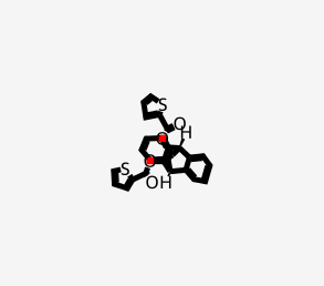 O=C(OC1C(OC(=O)c2cccs2)[C@H]2c3ccccc3[C@H]1c1ccccc12)c1cccs1